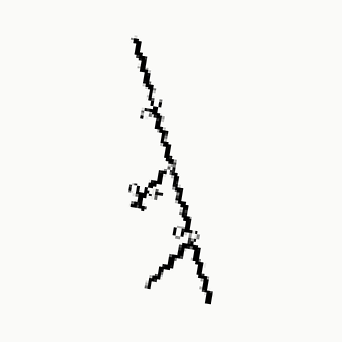 CCCCCCCCCOC(=O)CCCCCCCN(CCCCCCCC(=O)OC(CCCCCCCC)CCCCCCCC)CCCNC(=O)C(C)C